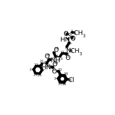 CCS(=O)(=O)NCCN(C)C(=O)CC[C@H](C=O)NC(=O)[C@@H](CC1CCCCC1)NC(=O)OCc1cccc(Cl)c1